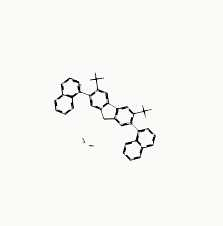 CC(C)(C)c1cc2c(cc1-c1cccc3ccccc13)[CH]c1cc(-c3cccc4ccccc34)c(C(C)(C)C)cc1-2.[Cl][Zr][Cl]